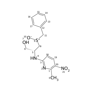 Cc1nc(N[C@H](CO)C[S+]([O-])Cc2ccccc2)ccc1[N+](=O)[O-]